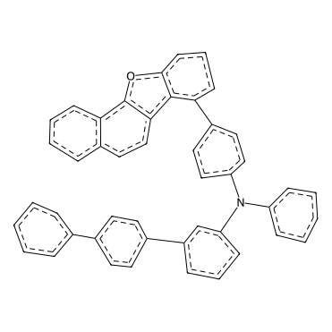 c1ccc(-c2ccc(-c3cccc(N(c4ccccc4)c4ccc(-c5cccc6oc7c8ccccc8ccc7c56)cc4)c3)cc2)cc1